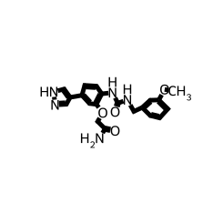 COc1cccc(CNC(=O)Nc2ccc(-c3cn[nH]c3)cc2OCC(N)=O)c1